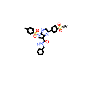 Cc1ccc(S(=O)(=O)n2cc(C(=O)NCc3ccccc3)c3nc(-c4ccc(S(=O)(=O)C(C)C)cc4)cnc32)cc1